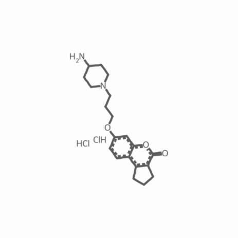 Cl.Cl.NC1CCN(CCCOc2ccc3c4c(c(=O)oc3c2)CCC4)CC1